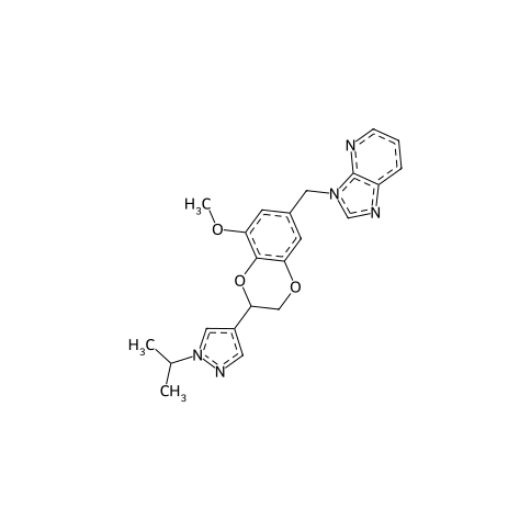 COc1cc(Cn2cnc3cccnc32)cc2c1OC(c1cnn(C(C)C)c1)CO2